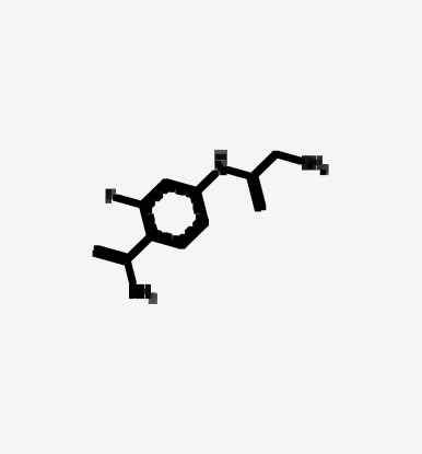 BCC(=C)Nc1ccc(C(=C)N)c(F)c1